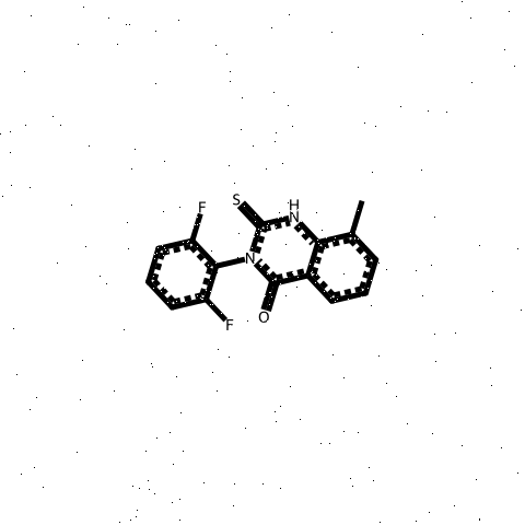 Cc1cccc2c(=O)n(-c3c(F)cccc3F)c(=S)[nH]c12